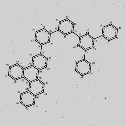 c1ccc(-c2nc(-c3ccccc3)nc(-c3cccc(-c4cccc(-c5ccc6c(c5)c5ccccc5c5c7ccccc7ccc65)c4)c3)n2)cc1